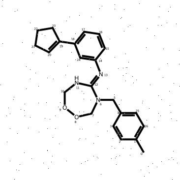 Cc1ccc(CN2COOCN/C2=N\c2cccc(C3=CCCC3)c2)cc1